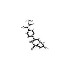 CON(C)C(=O)c1ccc(-c2cn3cc(Cl)cc3c(=O)[nH]2)cc1